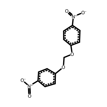 O=[N+]([O-])c1ccc(OCOc2ccc([N+](=O)[O-])cc2)cc1